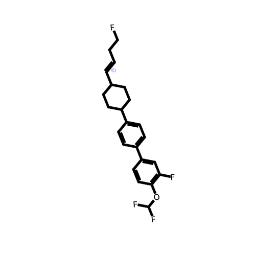 FCC/C=C/C1CCC(c2ccc(-c3ccc(OC(F)F)c(F)c3)cc2)CC1